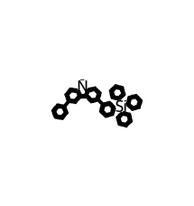 Cn1c2ccc(-c3ccccc3)cc2c2cc(-c3cccc([Si](c4ccccc4)(c4ccccc4)c4ccccc4)c3)ccc21